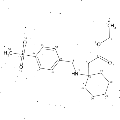 CCOC(=O)CC1(NCc2ccc(S(C)(=O)=O)cc2)CCCCC1